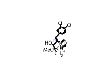 COC(C)(C)C(O)/C(=C/c1ccc(Cl)c(Cl)c1)n1cncn1